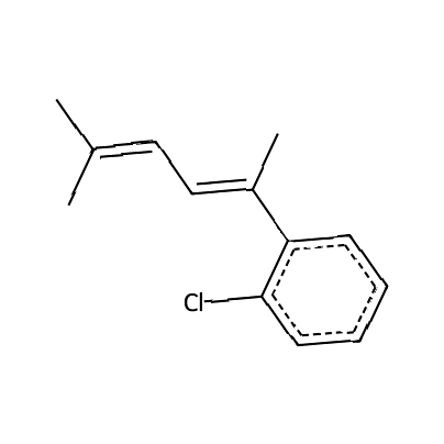 CC(C)=CC=C(C)c1ccccc1Cl